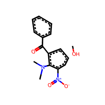 CN(C)c1c(C(=O)c2ccccc2)cccc1[N+](=O)[O-].CO